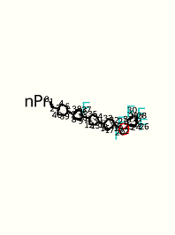 CCC/C=C/C1CCC(c2ccc(C3CCC(C4CCC(C(F)(F)Oc5cc(F)c(F)c(F)c5)CC4)CC3)c(F)c2)CC1